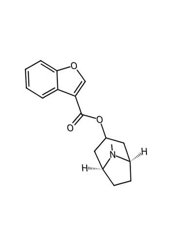 CN1[C@@H]2CC[C@H]1CC(OC(=O)c1coc3ccccc13)C2